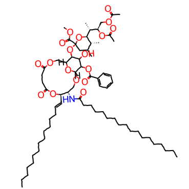 CCCCCCCCCCCCC/C=C/[C@H]1OC(=O)CCC(=O)OC[C@@H]2O[C@@H](OC[C@@H]1NC(=O)CCCCCCCCCCCCCCCCC)C(OC(=O)c1ccccc1)C(O)[C@@H]2O[C@]1(C(=O)OC)CC(C)[C@@H](C)[C@H]([C@H](C)[C@@H](COC(C)=O)OC(C)=O)O1